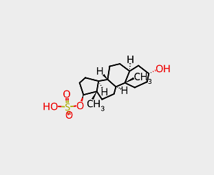 C[C@]12CC[C@@H](O)C[C@@H]1CC[C@@H]1[C@@H]2CC[C@]2(C)[C@@H](OS(=O)(=O)O)CC[C@@H]12